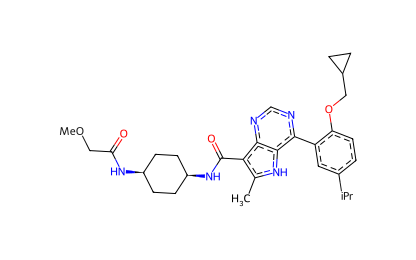 COCC(=O)N[C@H]1CC[C@@H](NC(=O)c2c(C)[nH]c3c(-c4cc(C(C)C)ccc4OCC4CC4)ncnc23)CC1